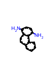 Nc1ccc(N)c2c1ccc1ccccc12